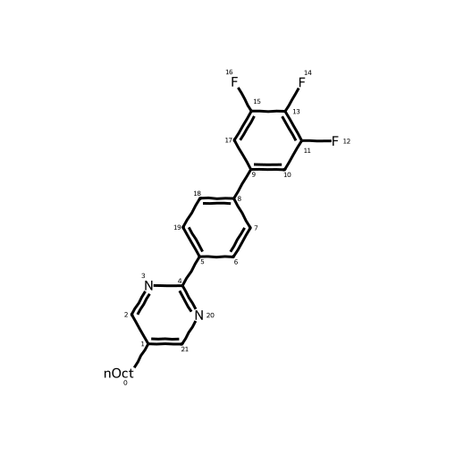 CCCCCCCCc1cnc(-c2ccc(-c3cc(F)c(F)c(F)c3)cc2)nc1